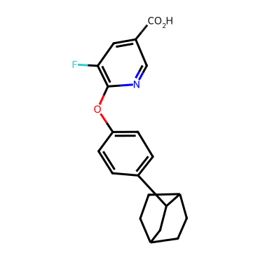 O=C(O)c1cnc(Oc2ccc(C3CC4CCC3CC4)cc2)c(F)c1